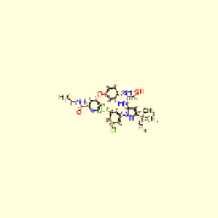 CCNC(=O)c1cc(Oc2ccc(N/C(=C\O)Nc3cc(C(C)(C)C)nn3-c3cc(Cl)cc(Cl)c3)cc2)ccn1